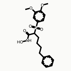 COc1ccc(S(=O)(=O)C(CCCCc2ccccc2)C(=O)NO)cc1OC